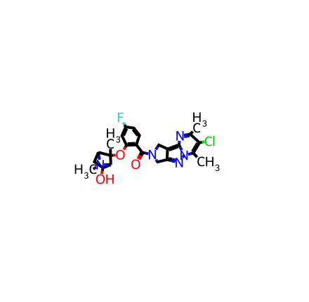 Cc1nc2c3c(nn2c(C)c1Cl)CN(C(=O)c1ccc(F)cc1OC1(C)C2CC(O)C1N2C)C3